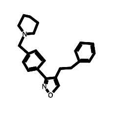 c1ccc(CCc2conc2-c2ccc(CN3CCCCC3)cc2)cc1